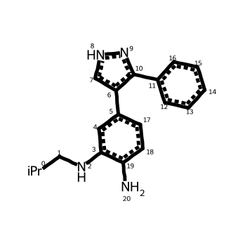 CC(C)CNc1cc(-c2c[nH]nc2-c2ccccc2)ccc1N